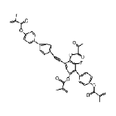 C=C(C)C(=O)Oc1ccc(-c2ccc(C#Cc3cc(OC(=O)C(=C)C)c(-c4ccc(OC(=O)C(=C)C)cc4)c(F)c3OC(=O)C(C)=O)cc2)cc1